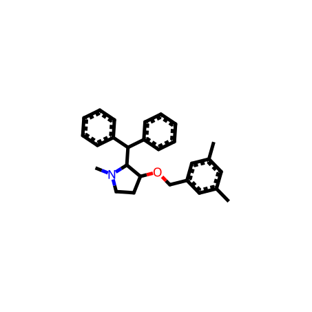 Cc1cc(C)cc(COC2CCN(C)C2C(c2ccccc2)c2ccccc2)c1